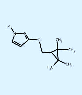 CC(C)n1ccc(OCC2C(C)(C)C2(C)C)n1